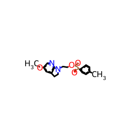 COc1cnc2c(c1)CCN2CCOS(=O)(=O)c1ccc(C)cc1